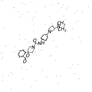 CN(C)C1CCN(c2ccc(NC(=O)N3CCC4(CC3)OC(=O)c3ccccc34)cc2)C1